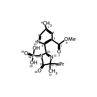 COC(=O)c1cc(C)cnc1C1=NC(C)(C(C)C)C(=O)N1P(=O)(O)O